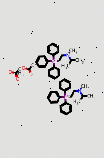 CC(=O)[O-].CC(=O)[O-].CC(C)N(C)CC[P+](c1ccccc1)(c1ccccc1)c1ccccc1.CC(C)N(C)CC[P+](c1ccccc1)(c1ccccc1)c1ccccc1